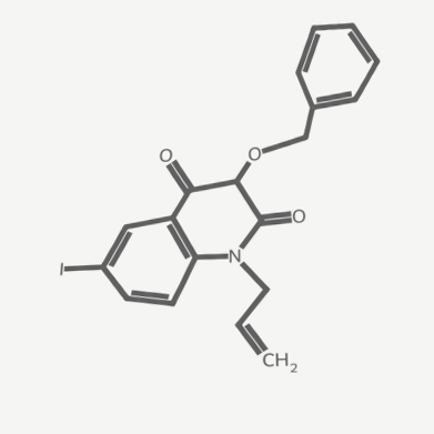 C=CCN1C(=O)C(OCc2ccccc2)C(=O)c2cc(I)ccc21